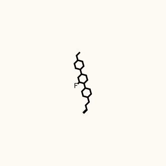 C=CCCC1CCC(C2CCC(C3CCC(CC)CC3)CC2F)CC1